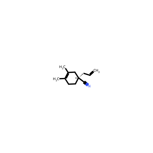 C=CC[C@]1(C#N)CCC(C)=C(C)C1